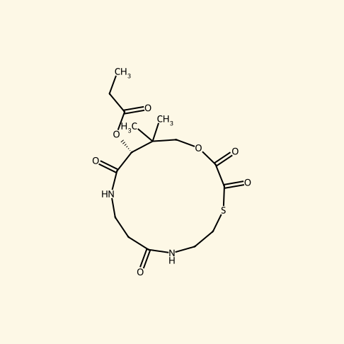 CCC(=O)O[C@H]1C(=O)NCCC(=O)NCCSC(=O)C(=O)OCC1(C)C